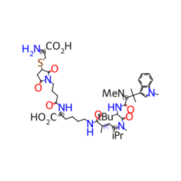 CN[C@H](C(=O)NC(C(=O)N(C)[C@H](/C=C(\C)C(=O)NCCCC[C@@H](NC(=O)CCCN1C(=O)CC(SC[C@H](N)C(=O)O)C1=O)C(=O)O)C(C)C)C(C)(C)C)C(C)(C)c1cn(C)c2ccccc12